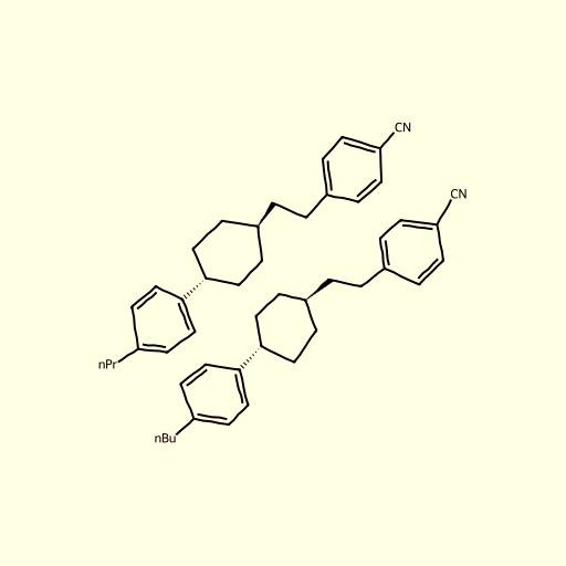 CCCCc1ccc([C@H]2CC[C@H](CCc3ccc(C#N)cc3)CC2)cc1.CCCc1ccc([C@H]2CC[C@H](CCc3ccc(C#N)cc3)CC2)cc1